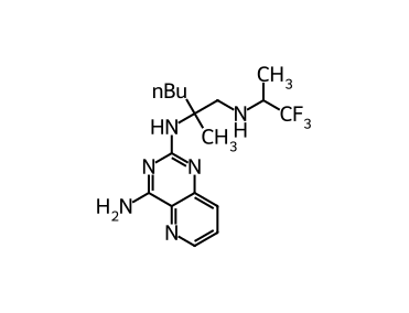 CCCCC(C)(CNC(C)C(F)(F)F)Nc1nc(N)c2ncccc2n1